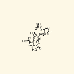 CC(C)C(N=NCC(C(=O)O)[n+]1ccn(C(=O)O)c1)=NN=c1ccccn1CCC(=O)O